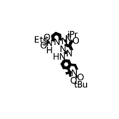 CCS(=O)(=O)Nc1cccc(-n2c3nc(Nc4ccc5c(c4)CCN(C(=O)OC(C)(C)C)C5(C)C)ncc3c(=O)n2C(C)C)n1